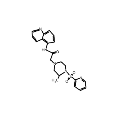 CC1CN(CC(=O)Nc2cccc3ncccc23)CCN1S(=O)(=O)c1ccccn1